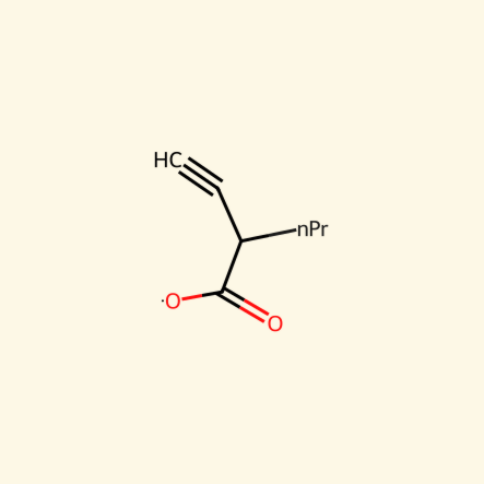 C#CC(CCC)C([O])=O